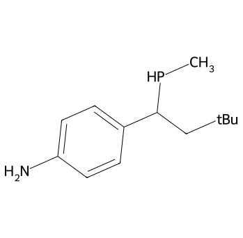 CPC(CC(C)(C)C)c1ccc(N)cc1